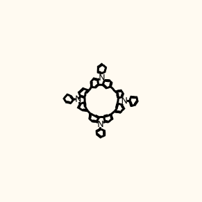 C1=CCCC(n2c3ccc4cc3c3cc(ccc32)c2ccc3c(c2)c2cc(ccc2n3-c2ccccc2)c2ccc3c(c2)c2cc(ccc2n3-c2ccccc2)c2ccc3c(c2)c2cc4ccc2n3C2=CCCC=C2)=C1